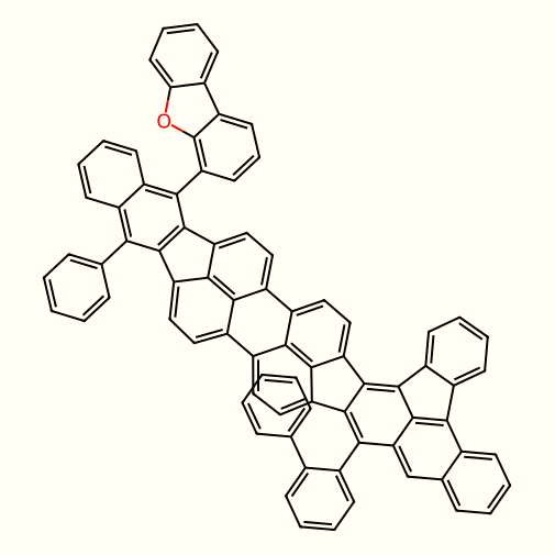 c1ccc(-c2ccccc2-c2c3cc4ccccc4c4c5ccccc5c(c5c6ccc7c8ccc9c%10c(ccc(c%11ccc(c25)c6c%117)c%108)-c2c-9c(-c5cccc6c5oc5ccccc56)c5ccccc5c2-c2ccccc2)c34)cc1